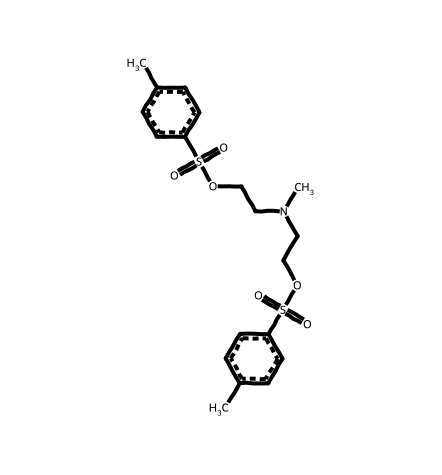 Cc1ccc(S(=O)(=O)OCCN(C)CCOS(=O)(=O)c2ccc(C)cc2)cc1